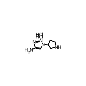 Cl.Cl.Nc1cn(C2CCNC2)nn1